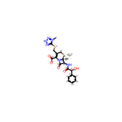 Cn1nnnc1SCC1=C(C(=O)[O-])N2C(=O)C(NC(=O)C(O)c3ccccc3)[C@@H]2SC1.[Li+]